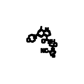 Cc1cc(N2CCOCC2)cc2c(C(=O)NCC(=O)N3CSCC3C#N)ccnc12